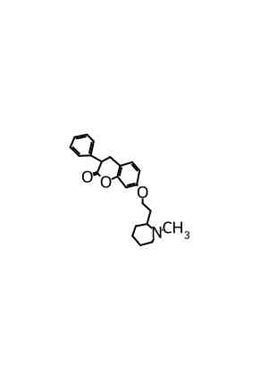 CN1CCCCC1CCOc1ccc2c(c1)OC(=O)C(c1ccccc1)C2